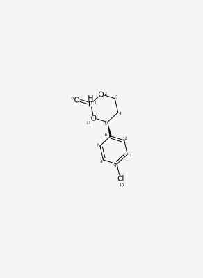 O=[PH]1OCC[C@@H](c2ccc(Cl)cc2)O1